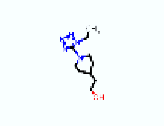 CCn1nnnc1N1CCC(CCO)CC1